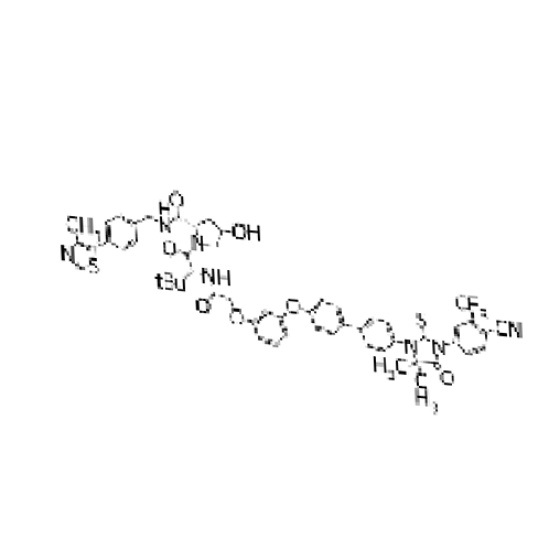 Cc1ncsc1-c1ccc(CNC(=O)[C@@H]2C[C@@H](O)CN2C(=O)C(NC(=O)COc2cccc(Oc3ccc(-c4ccc(N5C(=S)N(c6ccc(C#N)c(C(F)(F)F)c6)C(=O)C5(C)C)cc4)cc3)c2)C(C)(C)C)cc1